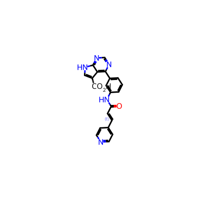 O=C(/C=C/c1ccncc1)Nc1cccc(-c2ncnc3[nH]cc(C(=O)O)c23)c1